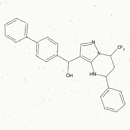 OC(c1ccc(-c2ccccc2)cc1)c1cnn2c1NC(c1ccccc1)CC2C(F)(F)F